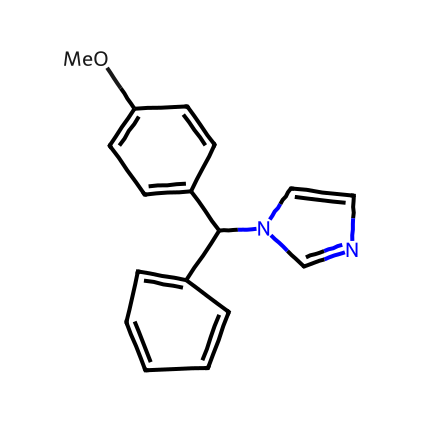 COc1ccc(C(c2ccccc2)n2ccnc2)cc1